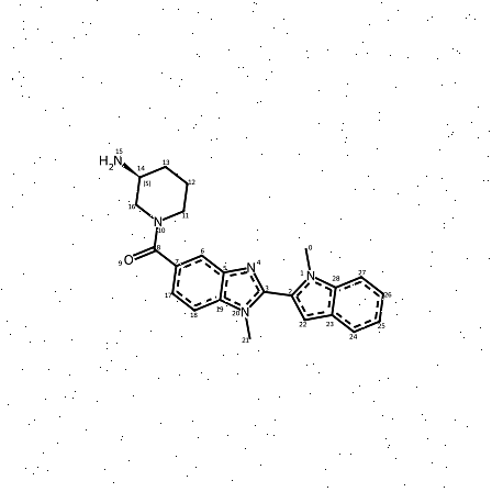 Cn1c(-c2nc3cc(C(=O)N4CCC[C@H](N)C4)ccc3n2C)cc2ccccc21